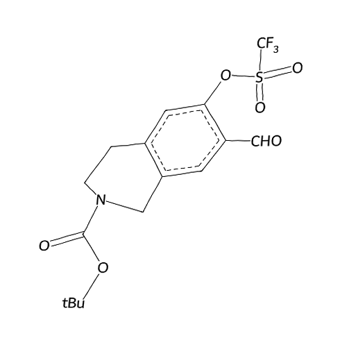 CC(C)(C)OC(=O)N1CCc2cc(OS(=O)(=O)C(F)(F)F)c(C=O)cc2C1